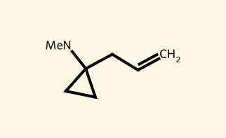 C=CCC1(NC)CC1